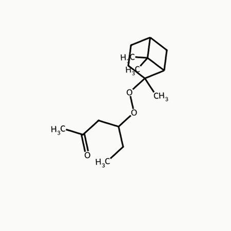 CCC(CC(C)=O)OOC1(C)CCC2CC1C2(C)C